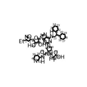 CCc1cc([C@H]2O[C@@H](n3cnc4c(NCC(c5ccccc5)c5ccccc5)nc(N5CC[C@@H](NC(=O)Nc6cccnc6)C5)nc43)[C@H](O)[C@@H]2O)on1.O=C(O)C(F)(F)F